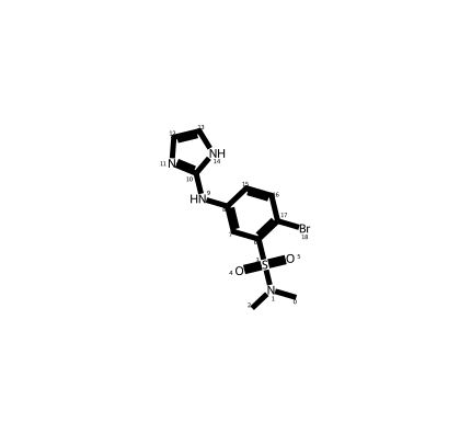 CN(C)S(=O)(=O)c1cc(Nc2ncc[nH]2)ccc1Br